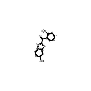 O=C(c1nc2ccc(O)cc2s1)c1ccccc1[N+](=O)[O-]